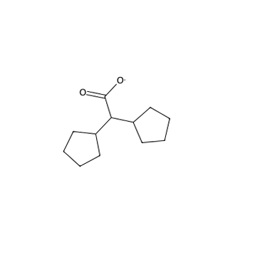 [O]C(=O)C(C1CCCC1)C1CCCC1